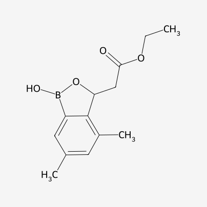 CCOC(=O)CC1OB(O)c2cc(C)cc(C)c21